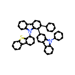 c1ccc(-c2ccc3c4ccccc4n(-c4cccc5c4sc4ccccc45)c3c2-c2ccc3c4ccccc4n(-c4ccccc4)c3c2)cc1